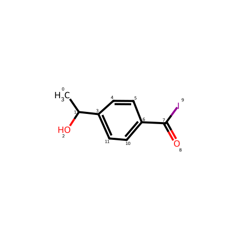 CC(O)c1ccc(C(=O)I)cc1